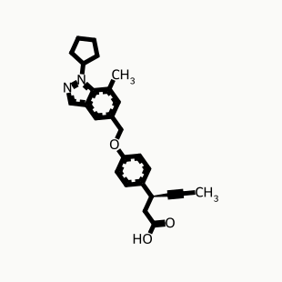 CC#C[C@@H](CC(=O)O)c1ccc(OCc2cc(C)c3c(cnn3C3CCCC3)c2)cc1